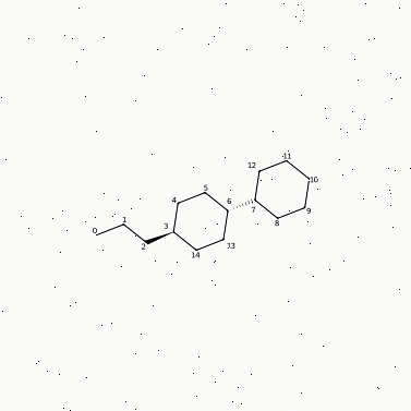 CCC[C@H]1CC[C@H](C2CCCCC2)CC1